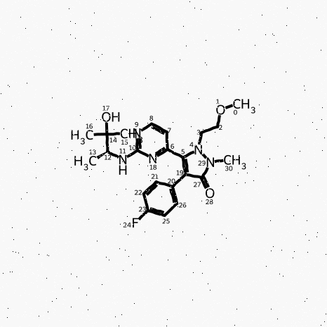 COCCn1c(-c2ccnc(N[C@@H](C)C(C)(C)O)n2)c(-c2ccc(F)cc2)c(=O)n1C